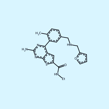 CCNC(=O)c1cc2c(-c3cc(CNCc4ccco4)ccc3C)nc(N)nc2s1